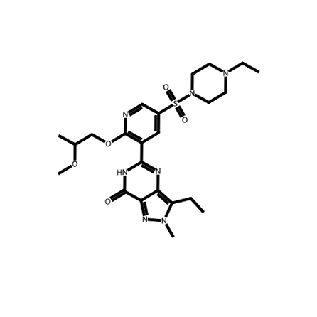 CCc1c2nc(-c3cc(S(=O)(=O)N4CCN(CC)CC4)cnc3OCC(C)OC)[nH]c(=O)c2nn1C